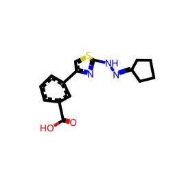 O=C(O)c1cccc(-c2csc(NN=C3CCCC3)n2)c1